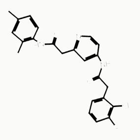 Cc1ccc(NC(=O)Cc2cc(NC(=O)Cc3cccc(F)c3Cl)ccn2)c(C)c1